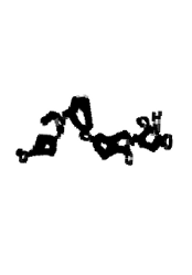 CCN(C[C@H]1C[C@H](OC)C1)C1CCCC1Oc1ccc2c(c1)CN(C1CCC(=O)NC1=O)C2=O